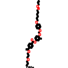 C=CCOOCCCCCCOc1ccc(OCOc2ccc(OC(=O)c3ccc(C(=C)OCCCOCCCOC)cc3)cc2C)cc1